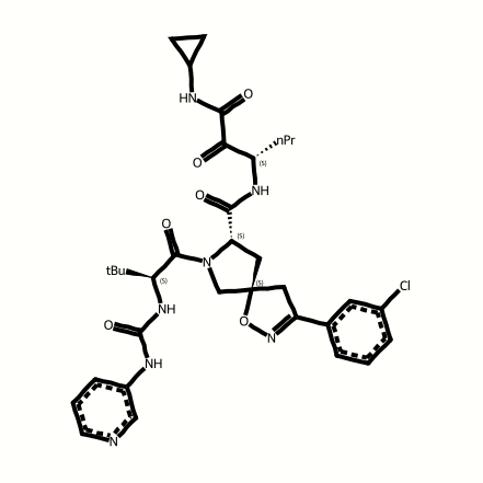 CCC[C@H](NC(=O)[C@@H]1C[C@]2(CC(c3cccc(Cl)c3)=NO2)CN1C(=O)[C@@H](NC(=O)Nc1cccnc1)C(C)(C)C)C(=O)C(=O)NC1CC1